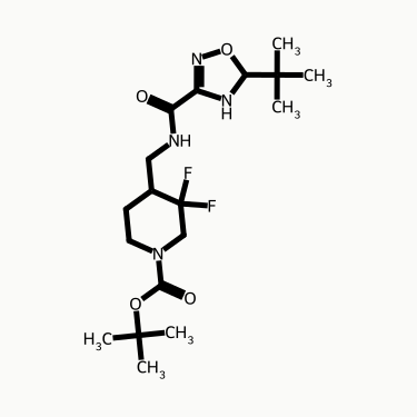 CC(C)(C)OC(=O)N1CCC(CNC(=O)C2=NOC(C(C)(C)C)N2)C(F)(F)C1